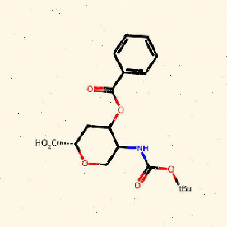 CC(C)(C)OC(=O)NC1CO[C@H](C(=O)O)CC1OC(=O)c1ccccc1